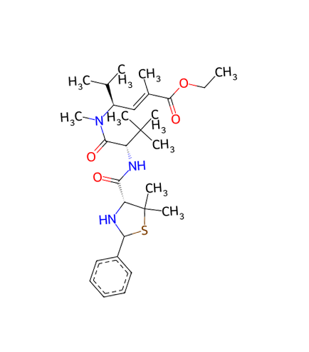 CCOC(=O)/C(C)=C/[C@H](C(C)C)N(C)C(=O)[C@@H](NC(=O)[C@H]1NC(c2ccccc2)SC1(C)C)C(C)(C)C